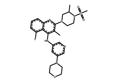 Cc1c(N2CCN(S(C)(=O)=O)C(C)C2)nc2cccc(F)c2c1Nc1cncc(N2CCOCC2)c1